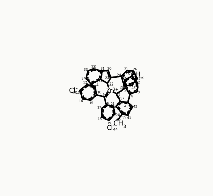 Cc1ccc2c(c1)[CH]([Zr+2](=[C](c1ccccc1)c1ccccc1)[CH]1C(c3ccccc3)=Cc3ccccc31)c1cc(C)ccc1-2.[Cl-].[Cl-]